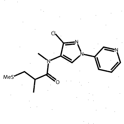 CSCC(C)C(=O)N(C)c1cn(-c2cccnc2)nc1Cl